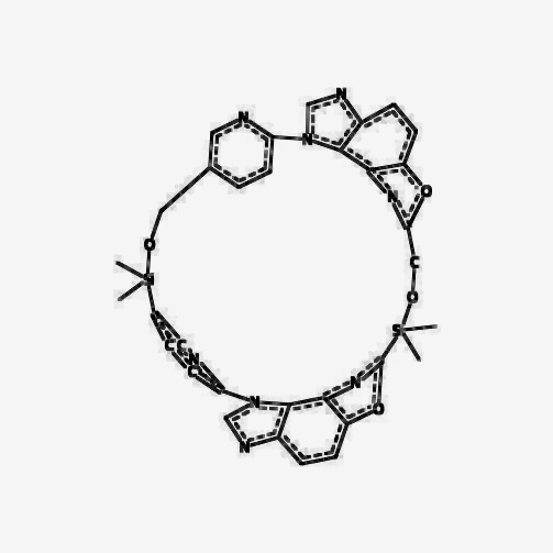 C[Si]1(C)OCc2ccc(nc2)-n2cnc3ccc4oc(nc4c32)CO[Si](C)(C)c2nc3c(ccc4ncn(c43)-c3ccc1cn3)o2